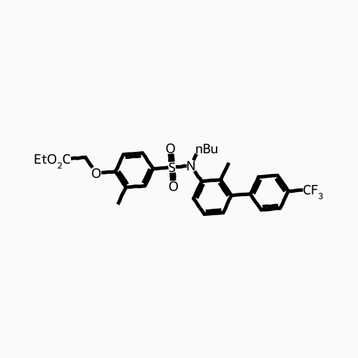 CCCCN(c1cccc(-c2ccc(C(F)(F)F)cc2)c1C)S(=O)(=O)c1ccc(OCC(=O)OCC)c(C)c1